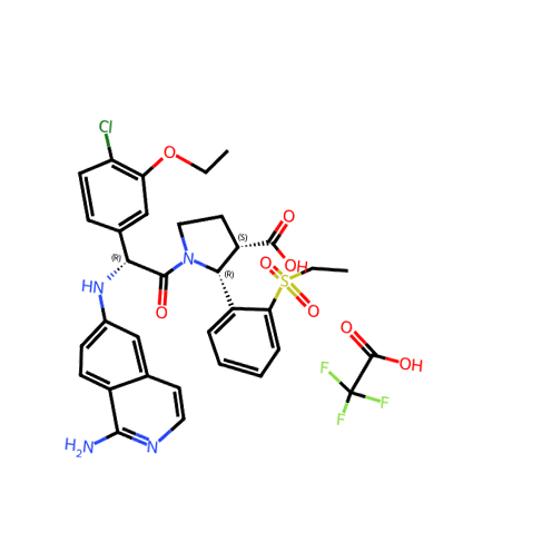 CCOc1cc([C@@H](Nc2ccc3c(N)nccc3c2)C(=O)N2CC[C@H](C(=O)O)[C@@H]2c2ccccc2S(=O)(=O)CC)ccc1Cl.O=C(O)C(F)(F)F